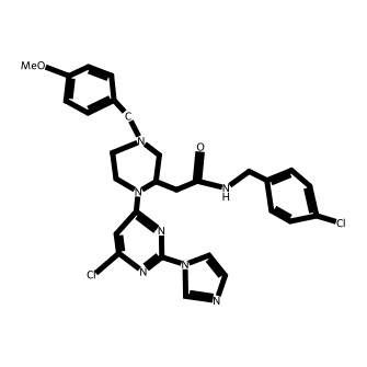 COc1ccc(CN2CCN(c3cc(Cl)nc(-n4ccnc4)n3)C(CC(=O)NCc3ccc(Cl)cc3)C2)cc1